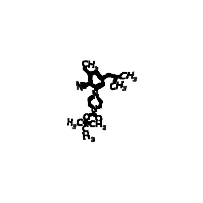 CCc1cc(CC(C)C)cc(N2CCN(C(=O)OC(C)(C)C)CC2)c1C#N